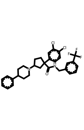 O=C(NCc1cccc(C(F)(F)F)c1)C1(c2ccc(Cl)c(Cl)c2)CCC(N2CCC(c3ccccc3)CC2)C1